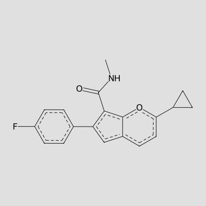 CNC(=O)c1c(-c2ccc(F)cc2)cc2ccc(C3CC3)oc1-2